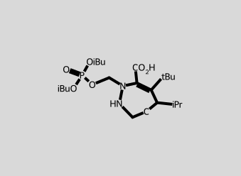 CC(C)COP(=O)(OCC(C)C)OCN1NCCC(C(C)C)C(C(C)(C)C)=C1C(=O)O